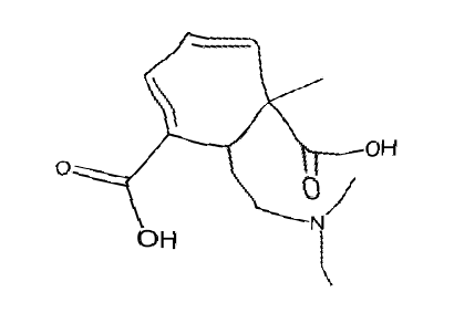 CN(C)CC1C(C(=O)O)=CC=CC1(C)C(=O)O